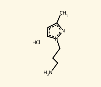 Cc1ccn(CCCN)n1.Cl